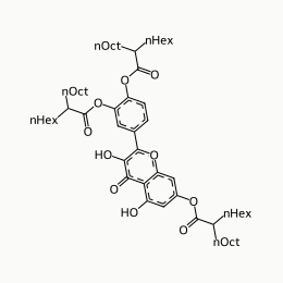 CCCCCCCCC(CCCCCC)C(=O)Oc1cc(O)c2c(=O)c(O)c(-c3ccc(OC(=O)C(CCCCCC)CCCCCCCC)c(OC(=O)C(CCCCCC)CCCCCCCC)c3)oc2c1